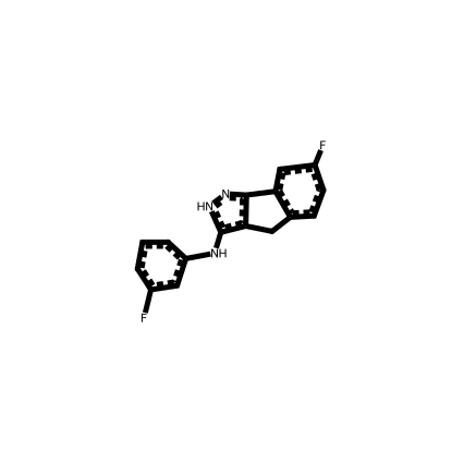 Fc1cccc(Nc2[nH]nc3c2Cc2ccc(F)cc2-3)c1